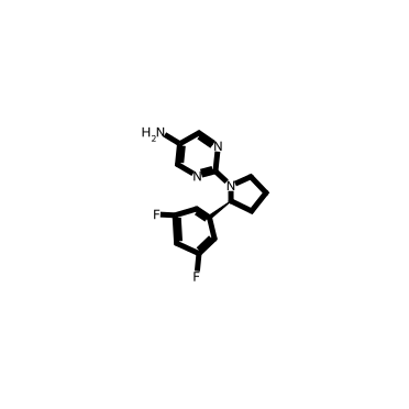 Nc1cnc(N2CCC[C@H]2c2cc(F)cc(F)c2)nc1